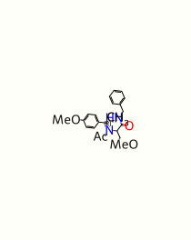 COCC(C(=O)NCc1ccccc1)N(C(C)=O)[C@H](C)c1ccc(OC)cc1